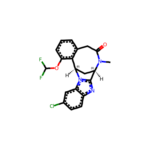 CN1C(=O)Cc2cccc(OC(F)F)c2[C@H]2C[C@@H]1c1nc3ccc(Cl)cc3n12